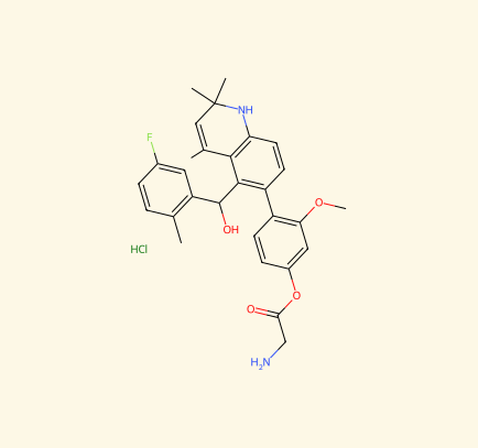 COc1cc(OC(=O)CN)ccc1-c1ccc2c(c1C(O)c1cc(F)ccc1C)C(C)=CC(C)(C)N2.Cl